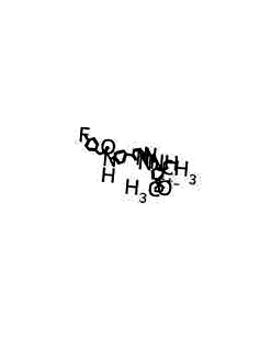 Cc1cc([S+](C)[O-])ccc1Nc1nc2ccc(-c3ccc(NC(=O)Cc4ccc(F)cc4)cc3)cn2n1